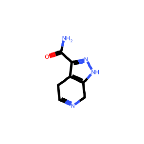 NC(=O)c1n[nH]c2c1CC=NC2